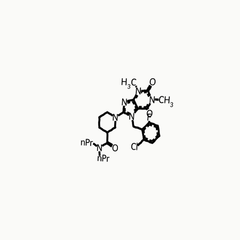 CCCN(CCC)C(=O)C1CCCN(c2nc3c(c(=O)n(C)c(=O)n3C)n2Cc2c(F)cccc2Cl)C1